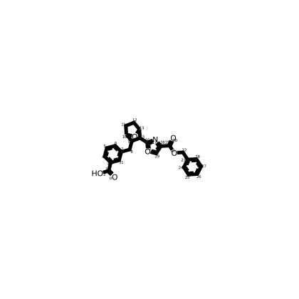 O=C(O)c1cccc(CC2C3CCC(O3)C2c2nc(C(=O)OCc3ccccc3)co2)c1